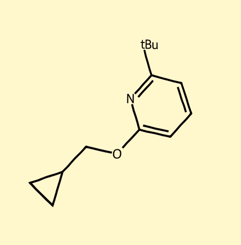 CC(C)(C)c1cccc(OCC2CC2)n1